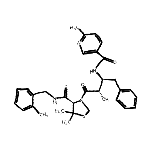 Cc1ccc(C(=O)N[C@@H](Cc2ccccc2)[C@H](O)C(=O)N2CSC(C)(C)[C@H]2C(=O)NCc2ccccc2C)cn1